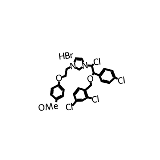 Br.COc1ccc(OCCN2C=CN(C(Cl)C(OCc3ccc(Cl)cc3Cl)c3ccc(Cl)cc3)C2)cc1